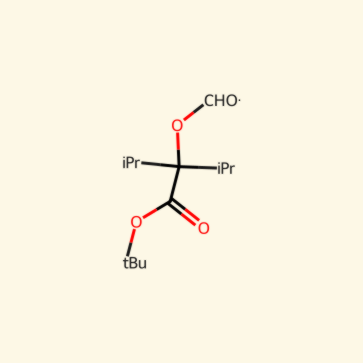 CC(C)C(O[C]=O)(C(=O)OC(C)(C)C)C(C)C